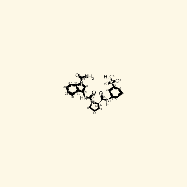 CS(=O)(=O)c1cccc(NC(=O)[C@@H]2CCCN2C(=O)Nc2cn(C(N)=O)c3ccccc23)c1